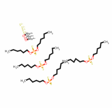 CCCCCCOP(=S)([S-])OCCCCCC.CCCCCCOP(=S)([S-])OCCCCCC.CCCCCCOP(=S)([S-])OCCCCCC.CCCCCCOP(=S)([S-])OCCCCCC.[O]=[Mo+4].[O]=[Mo+4].[O]=[Mo+4].[S-2].[S-2].[S-2].[S-2]